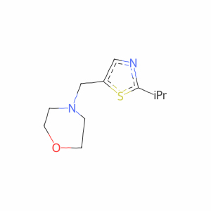 CC(C)c1ncc(CN2CCOCC2)s1